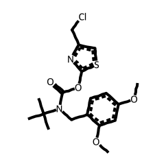 COc1ccc(CN(C(=O)Oc2nc(CCl)cs2)C(C)(C)C)c(OC)c1